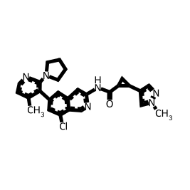 Cc1ccnc(N2CCCC2)c1-c1cc(Cl)c2cnc(NC(=O)C3CC3c3cnn(C)c3)cc2c1